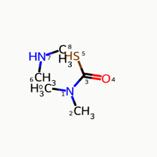 CN(C)C(=O)S.CNC